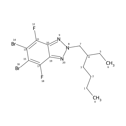 CCCCC(CC)Cn1nc2c(F)c(Br)c(Br)c(F)c2n1